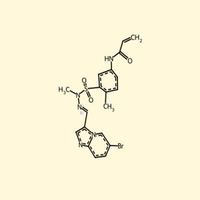 C=CC(=O)Nc1ccc(C)c(S(=O)(=O)N(C)/N=C/c2cnc3ccc(Br)cn23)c1